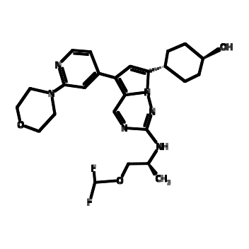 C[C@@H](COC(F)F)Nc1ncc2c(-c3ccnc(N4CCOCC4)c3)cc([C@H]3CC[C@H](O)CC3)n2n1